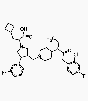 CCN(C(=O)Cc1ccc(F)cc1Cl)C1CCN(CC2CN(C(CC3CCC3)C(=O)O)CC2c2cccc(F)c2)CC1